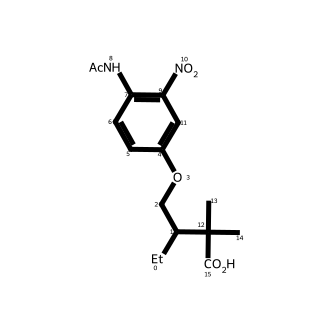 CCC(COc1ccc(NC(C)=O)c([N+](=O)[O-])c1)C(C)(C)C(=O)O